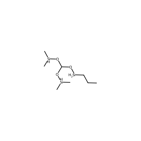 CCC[SiH2]OC(O[SiH](C)C)O[SiH](C)C